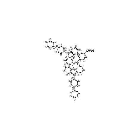 COc1ccc(N(c2cccc3c2c2ccccc2n3-c2ccc(-c3ccccn3)cc2)c2cccc3c2c2ccccc2n3-c2ccc(-c3ccccn3)cc2)cc1